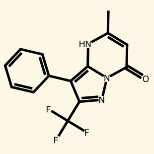 Cc1cc(=O)n2nc(C(F)(F)F)c(-c3ccccc3)c2[nH]1